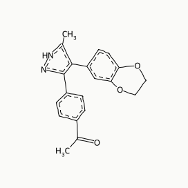 CC(=O)c1ccc(-c2n[nH]c(C)c2-c2ccc3c(c2)OCCO3)cc1